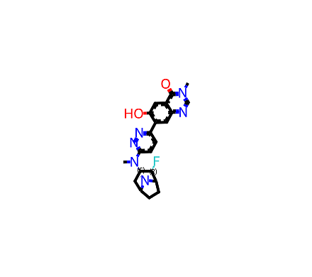 CN1C2CCC1[C@@H](F)[C@@H](N(C)c1ccc(-c3cc4ncn(C)c(=O)c4cc3O)nn1)C2